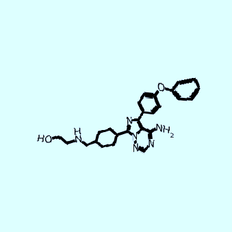 Nc1ncnn2c(C3CCC(CNCCO)CC3)nc(-c3ccc(Oc4ccccc4)cc3)c12